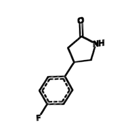 O=C1CC(c2ccc(F)cc2)CN1